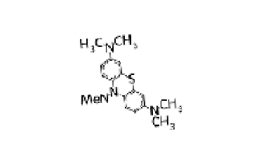 CNN1c2ccc(N(C)C)cc2Sc2cc(N(C)C)ccc21